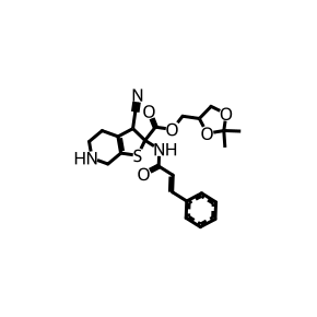 CC1(C)OCC(COC(=O)C2(NC(=O)C=Cc3ccccc3)SC3=C(CCNC3)C2C#N)O1